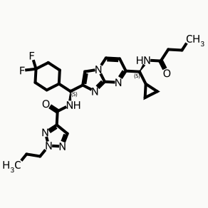 CCCC(=O)N[C@H](c1ccn2cc([C@@H](NC(=O)c3cnn(CCC)n3)C3CCC(F)(F)CC3)nc2n1)C1CC1